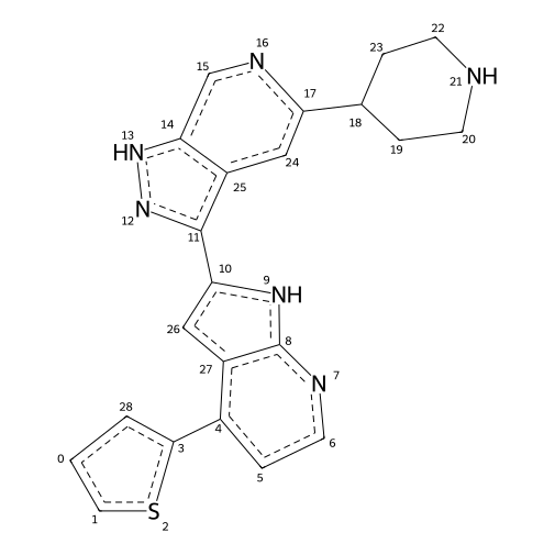 c1csc(-c2ccnc3[nH]c(-c4n[nH]c5cnc(C6CCNCC6)cc45)cc23)c1